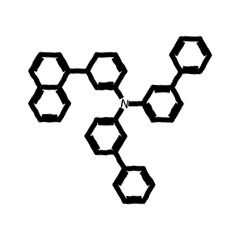 C1=CC(N(c2cccc(-c3ccccc3)c2)c2cccc(-c3ccccc3)c2)=CC(c2cccc3ccccc23)C1